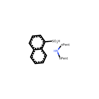 CCCCCNCCCCC.O=S(=O)(O)c1cccc2ccccc12